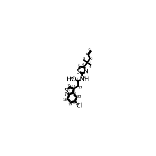 C=CCC(C)(C)c1csc(NC(O)Cc2csc3ccc(Cl)cc23)n1